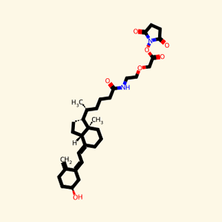 C=C1CC[C@H](O)C/C1=C/C=C1\CCC[C@]2(C)[C@@H]([C@H](C)CCCC(=O)NCCOCC(=O)ON3C(=O)CCC3=O)CC[C@@H]12